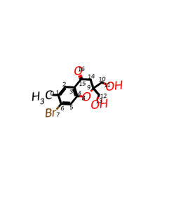 Cc1cc2c(cc1Br)OC(CO)(CO)CC2=O